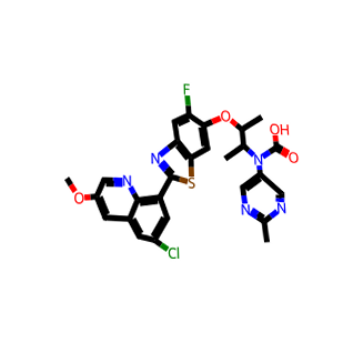 COc1cnc2c(-c3nc4cc(F)c(OC(C)C(C)N(C(=O)O)c5cnc(C)nc5)cc4s3)cc(Cl)cc2c1